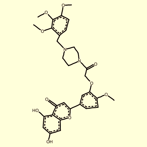 COc1ccc(-c2cc(=O)c3c(O)cc(O)cc3o2)cc1OCC(=O)N1CCN(Cc2ccc(OC)c(OC)c2OC)CC1